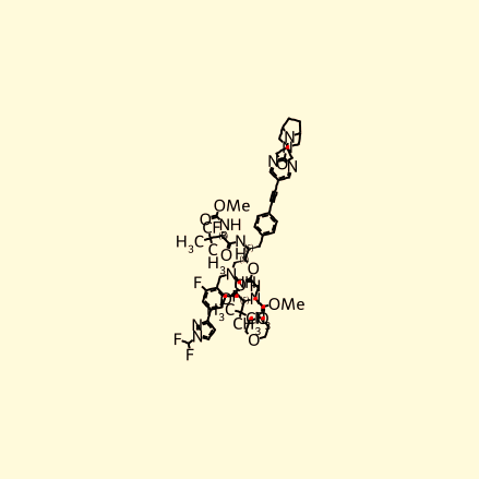 COC(=O)N[C@H](C(=O)N[C@@H](Cc1ccc(C#Cc2cnc(N3CC4CCC(C3)N4C3COC3)nc2)cc1)[C@H](CN(Cc1c(F)cc(-c2ccn(C(F)F)n2)cc1F)NC(=O)[C@@H](NC(=O)OC)C(C)(C)C(F)(F)F)OC(=O)CCCN1CCOCC1)C(C)(C)C(F)(F)F